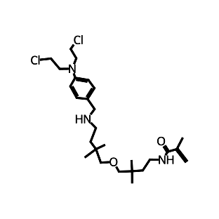 C=C(C)C(=O)NCCC(C)(C)COCC(C)(C)CCNCc1ccc(N(CCCl)CCCl)cc1